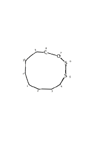 C1CCCCSSOCCC1